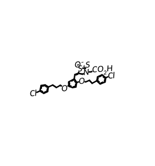 O=C(O)CN1CC(=Cc2cc(OCCCc3ccc(Cl)cc3)ccc2OCCCc2ccc(Cl)cc2)[S+]([O-])C1=S